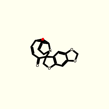 O=C1C=CCC2=C3C(=CCN3C13COc1cc4c(cc13)OCO4)CCC2